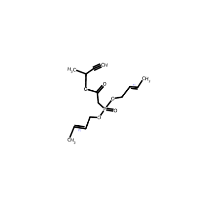 C#CC(C)OC(=O)CP(=O)(OC/C=C/C)OC/C=C/C